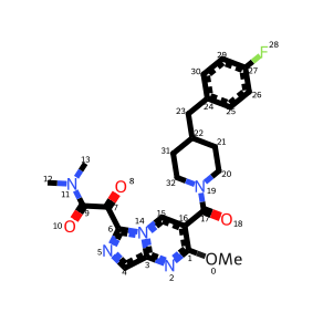 COc1nc2cnc(C(=O)C(=O)N(C)C)n2cc1C(=O)N1CCC(Cc2ccc(F)cc2)CC1